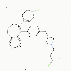 FCCCN1CC(Cc2ccc(C3=C(C4=CCC(F)(F)CC4)CCCc4ccccc43)cc2)C1